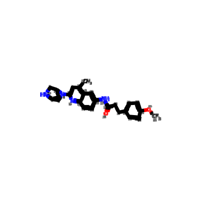 Cc1cc(N2CC3CC2CN3)nc2ccc(NC(=O)CCc3ccc(OC(F)(F)F)cc3)cc12